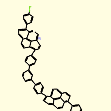 C=c1c(-c2ccc(F)cc2)ccc2ccc3c(-c4ccc(-c5cccc(-c6ccc(-c7ccc8ccc9c(-c%10ccc(F)cc%10)ccc%10ccc7c8c%109)cc6)c5)cc4)cc/c(=C/C)c3c12